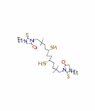 CCN1CC(=O)N(CC(C)(C)CCC(S)CCC(S)CCC(C)(C)CN2C(=O)CN(CC)C2=S)C1=S